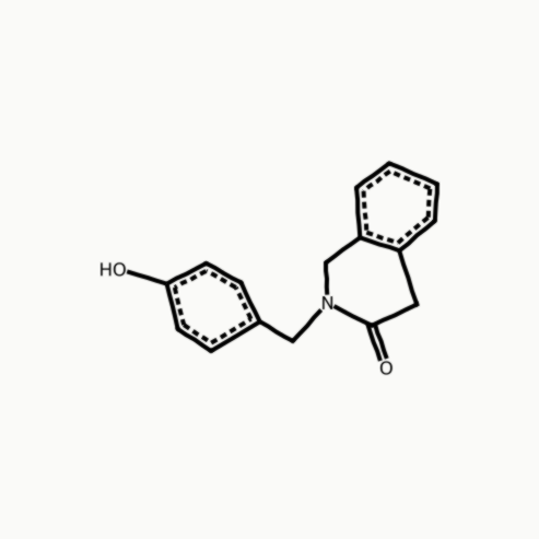 O=C1Cc2ccccc2CN1Cc1ccc(O)cc1